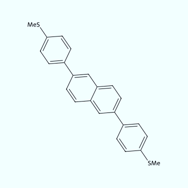 CSc1ccc(-c2ccc3cc(-c4ccc(SC)cc4)ccc3c2)cc1